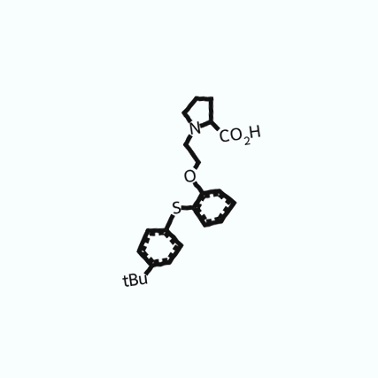 CC(C)(C)c1ccc(Sc2ccccc2OCCN2CCCC2C(=O)O)cc1